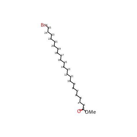 COC(=O)CCCCCCCCCCCCCCCCCCCCCCCBr